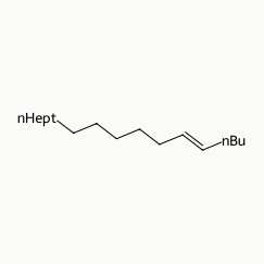 CCCC/C=C/CCCCCCCCCCCC